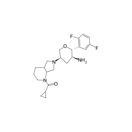 N[C@H]1C[C@@H](N2CC3CCCN(C(=O)C4CC4)C3C2)CO[C@@H]1c1cc(F)ccc1F